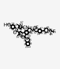 Cc1c(N(C(=O)c2cc(-c3cc4c(cc3C(=O)N3Cc5ccccc5C[C@H]3C)CN(C(=O)Cc3ccc(C5CCN(CC(F)F)CC5)cc3F)CC4)n(C)c2C)c2ccc(O)cc2)cc(C#N)n1C